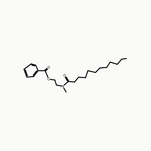 CCCCCCCCCCCC(=O)N(C)CCOC(=O)c1ccccc1